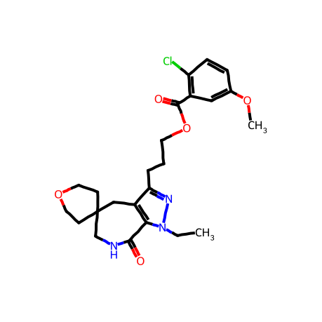 CCn1nc(CCCOC(=O)c2cc(OC)ccc2Cl)c2c1C(=O)NCC1(CCOCC1)C2